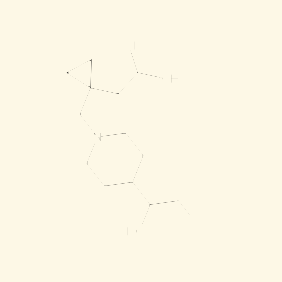 CCC(C)C1CCN(CC2(CC(C)C)CC2)CC1